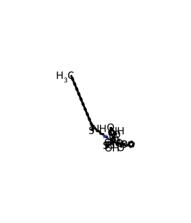 CC#CC#CC#CC#CC#CC#CC#CC#CC#CC#CC(=S)NCCCC/C=C/C[C@H]1C(OP(O)(=S)OC)[C@@H](COC(=O)OCc2ccccc2)O[C@H]1n1ccc(=O)[nH]c1=O